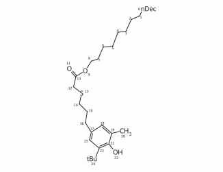 CCCCCCCCCCCCCCCCCCOC(=O)CSCCCc1cc(C)c(O)c(C(C)(C)C)c1